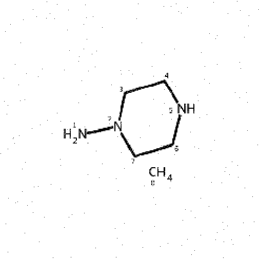 C.NN1CCNCC1